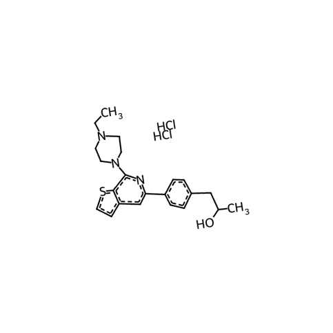 CCN1CCN(c2nc(-c3ccc(CC(C)O)cc3)cc3ccsc23)CC1.Cl.Cl